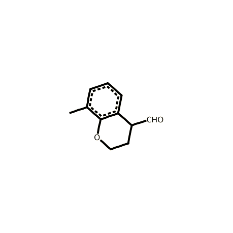 Cc1cccc2c1OCCC2C=O